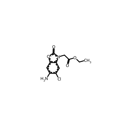 CCOC(=O)Cn1c(=O)oc2cc(N)c(Cl)cc21